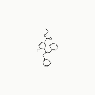 CCOC(=O)c1ccc(F)c(N(Cc2ccccc2)Cc2ccccc2)c1